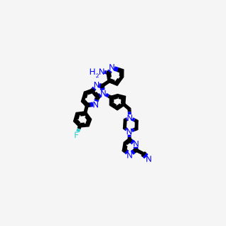 N#Cc1nccc(N2CCN(Cc3ccc(-n4c(-c5cccnc5N)nc5ccc(-c6ccc(F)cc6)nc54)cc3)CC2)n1